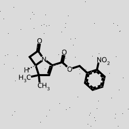 CC1(C)C=C(C(=O)OCc2ccccc2[N+](=O)[O-])N2C(=O)C[C@@H]21